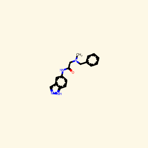 CN(CC(=O)Nc1ccc2[nH]ncc2c1)Cc1ccccc1